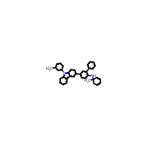 Cc1cccc(-n2c3ccccc3c3cc(-c4ccc(NC5(C)C=CC=CC5)c(-c5ccccc5)c4)ccc32)c1